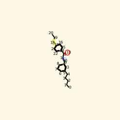 CCCCCc1cccc(/C=C/C(=O)c2ccc(SCC)cc2)c1